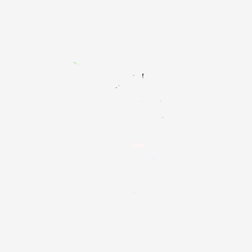 C[C@H](CCC(=O)NCCS(=O)(=O)O)[C@H]1CC[C@H]2[C@@H]3[C@@H](F)CC4C[C@H](F)CC[C@]4(C)[C@H]3CC[C@]12C